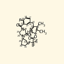 CC1=C(C)C(OC(=O)C(F)(F)F)NN=C1Cc1ccc(F)c(C(=O)N2CCN(C3CCCCC3)C(=O)C2)c1